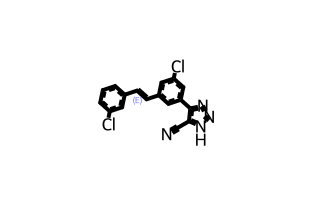 N#Cc1[nH]nnc1-c1cc(Cl)cc(/C=C/c2cccc(Cl)c2)c1